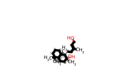 CC(=CCO)CC[C@H]1[C@@]2(C)CCCC(C)(C)[C@@H]2CC[C@@]1(C)O